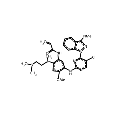 C=CC(=O)Nc1cc(Nc2ncc(Cl)c(-n3nc(NC)c4ccccc43)n2)c(OC)cc1N(C)CCN(C)C